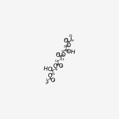 C=CC(=O)OCC(O)COC(=O)CCC(=O)OCC(O)COC(=O)C=C